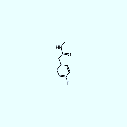 CNC(=O)CC1C=CC(F)=CC1